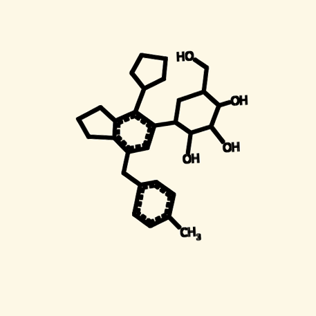 Cc1ccc(Cc2cc(C3CC(CO)C(O)C(O)C3O)c(C3CCCC3)c3c2CCC3)cc1